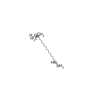 C[N+](C)(C)CCCCCCCCCCCCCCCNC[SiH3]